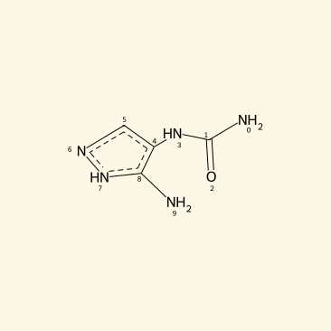 NC(=O)Nc1cn[nH]c1N